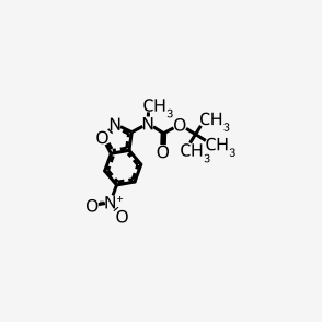 CN(C(=O)OC(C)(C)C)c1noc2cc([N+](=O)[O-])ccc12